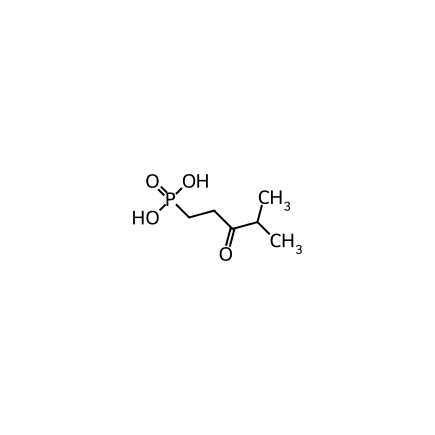 CC(C)C(=O)CCP(=O)(O)O